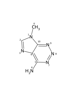 Cn1cnc2c(N)nnnc21